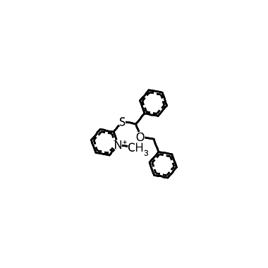 C[n+]1ccccc1SC(OCc1ccccc1)c1ccccc1